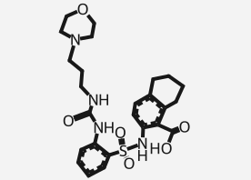 O=C(NCCCN1CCOCC1)Nc1ccccc1S(=O)(=O)Nc1ccc2c(c1C(=O)O)CCCC2